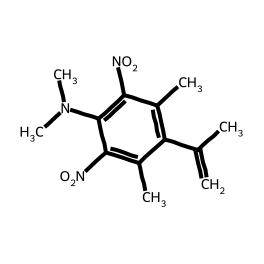 C=C(C)c1c(C)c([N+](=O)[O-])c(N(C)C)c([N+](=O)[O-])c1C